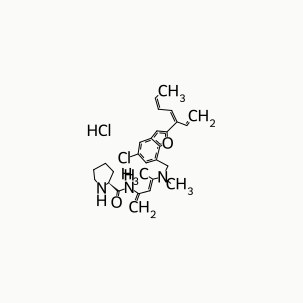 C=C/C(=C/C=C\C)c1cc2cc(Cl)cc(CN(C)/C(C)=C/C(=C)NC(=O)[C@@H]3CCCCN3)c2o1.Cl